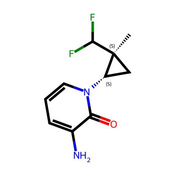 C[C@]1(C(F)F)C[C@@H]1n1cccc(N)c1=O